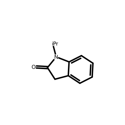 CC(C)N1C(=O)Cc2ccccc21